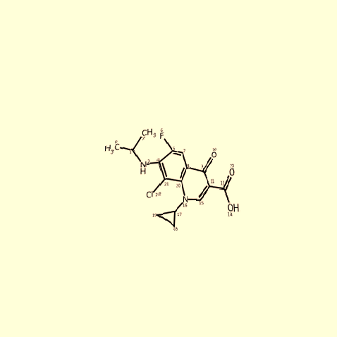 CC(C)Nc1c(F)cc2c(=O)c(C(=O)O)cn(C3CC3)c2c1Cl